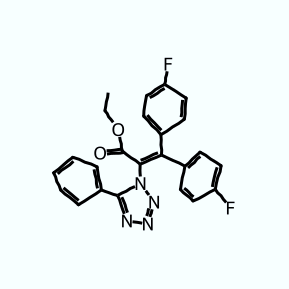 CCOC(=O)C(=C(c1ccc(F)cc1)c1ccc(F)cc1)n1nnnc1-c1ccccc1